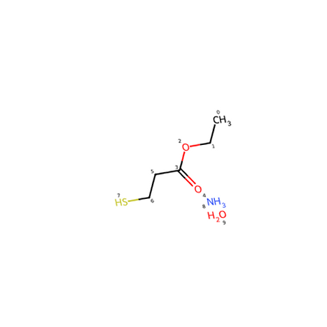 CCOC(=O)CCS.N.O